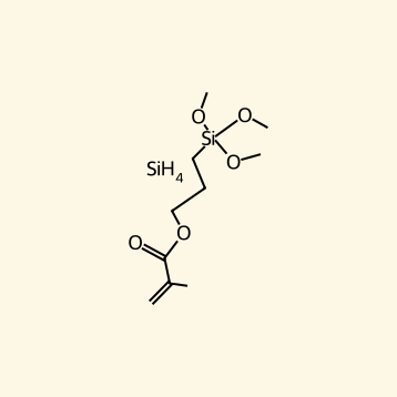 C=C(C)C(=O)OCCC[Si](OC)(OC)OC.[SiH4]